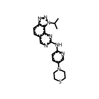 CC(C)n1nnc2ccc3cnc(Nc4ccc(N5CCSCC5)cn4)nc3c21